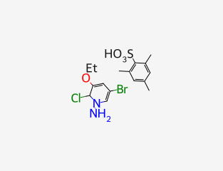 CCOC1=CC(Br)=CN(N)C1Cl.Cc1cc(C)c(S(=O)(=O)O)c(C)c1